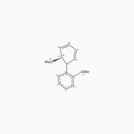 COc1ccc[c]c1C1[C]=CC=C[C@@H]1OC